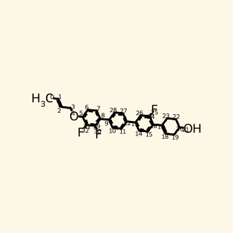 C/C=C/COc1ccc(-c2ccc(-c3ccc(C4=CCC(O)CC4)c(F)c3)cc2)c(F)c1F